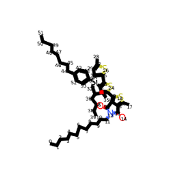 CCCCCCCCCCCCN1C(=O)c2c(C)sc(-c3cc4c(s3)-c3sc(C)cc3[Si]4(CC(CC)CCCC)c3ccc(CCCCCCCC)cc3)c2C1=O